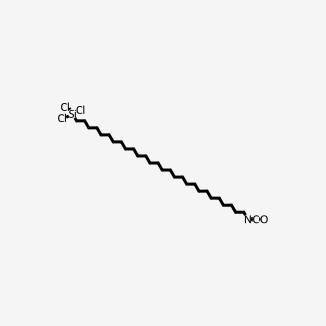 O=C=NCCCCCCCCCCCCCCCCCCCCCCCCCCCC[Si](Cl)(Cl)Cl